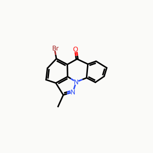 Cc1nn2c3ccccc3c(=O)c3c(Br)ccc1c32